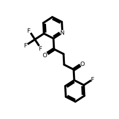 O=C(CCC(=O)c1ncccc1C(F)(F)F)c1ccccc1F